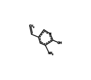 C=Cc1cnc(O)c(N)c1